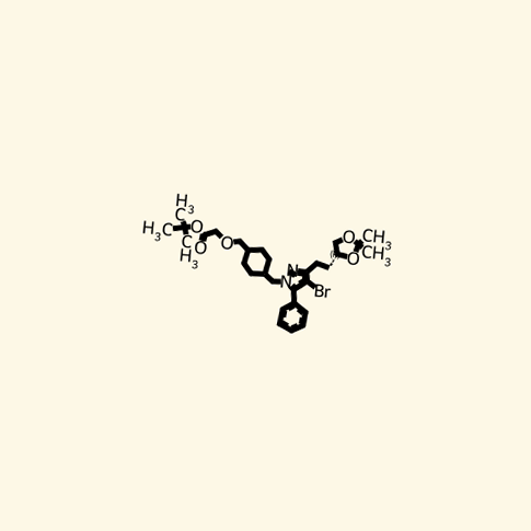 CC(C)(C)OC(=O)COCC1CCC(Cn2nc(CC[C@@H]3COC(C)(C)O3)c(Br)c2-c2ccccc2)CC1